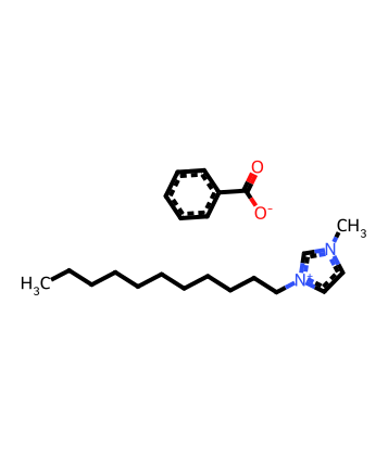 CCCCCCCCCCC[n+]1ccn(C)c1.O=C([O-])c1ccccc1